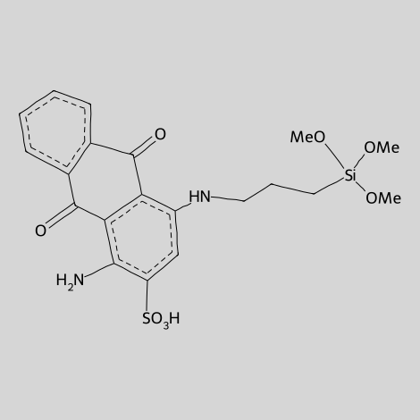 CO[Si](CCCNc1cc(S(=O)(=O)O)c(N)c2c1C(=O)c1ccccc1C2=O)(OC)OC